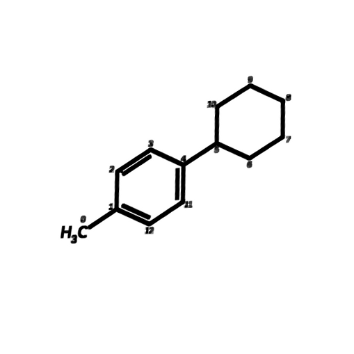 Cc1[c]cc(C2CCCCC2)cc1